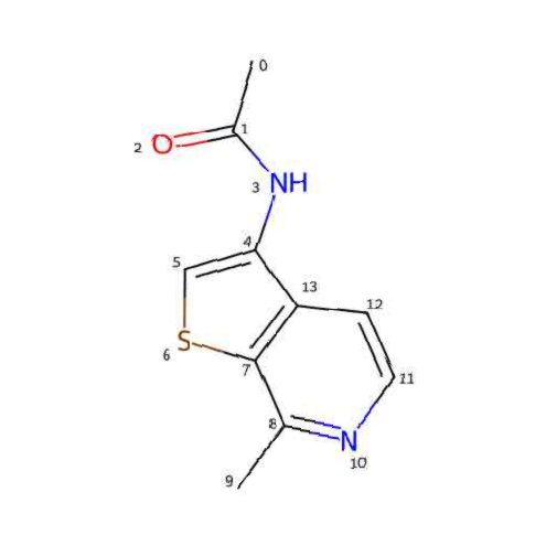 CC(=O)Nc1csc2c(C)nccc12